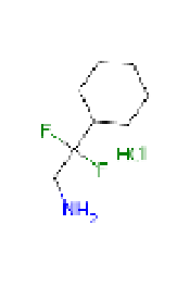 Cl.NCC(F)(F)C1CCCCC1